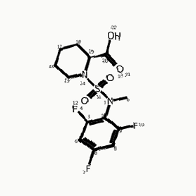 CN(c1c(F)cc(F)cc1F)S(=O)(=O)N1CCCC[C@H]1C(=O)O